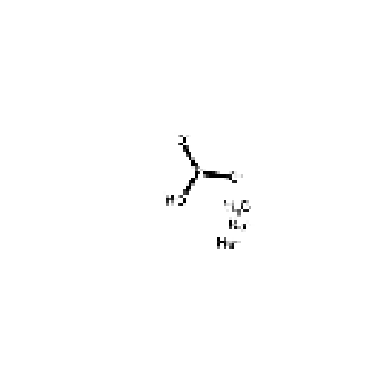 O.[Na+].[Na+].[O-]P([O-])O